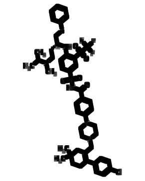 CC(C)N(C)CC[C@H](CSc1ccccc1)Nc1ccc(S(=O)(=O)NC(=O)c2ccc(N3CCN(CC4=C(c5ccc(Cl)cc5)CCC(C)(C)C4)CC3)cc2)cc1S(=O)(=O)C(F)(F)F